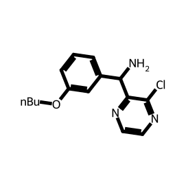 CCCCOc1cccc(C(N)c2nccnc2Cl)c1